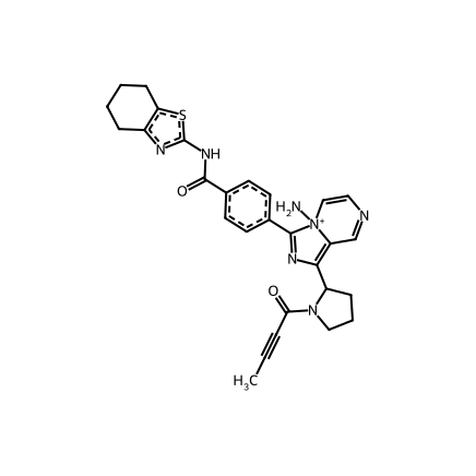 CC#CC(=O)N1CCCC1C1=C2C=NC=C[N+]2(N)C(c2ccc(C(=O)Nc3nc4c(s3)CCCC4)cc2)=N1